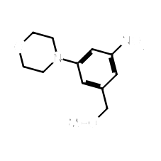 COCc1cc(N2CCOCC2)cc([N+](=O)[O-])c1